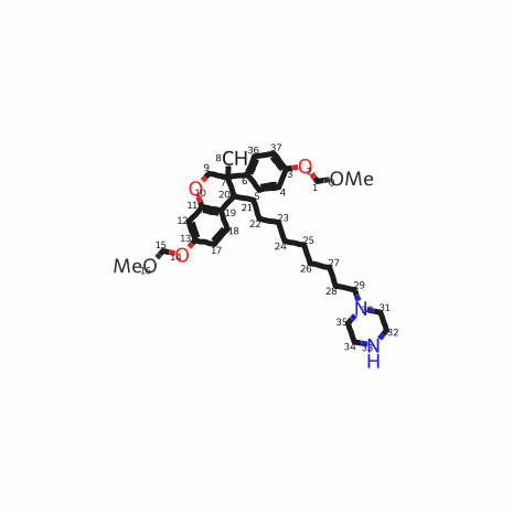 COCOc1ccc(C2(C)COc3cc(OCOC)ccc3C2CCCCCCCCCN2CCNCC2)cc1